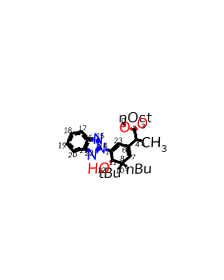 CCCCCCCCOC(=O)C(C)C1=CC(CCCC)(C(C)(C)C)C(O)C(n2nc3ccccc3n2)=C1